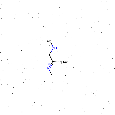 C/N=C(/CNC(C)C)NC(C)=O